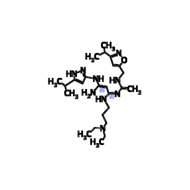 C=C(/N=C(\C=C(/N)Nc1cc(C(C)C)[nH]n1)NCCCN(CC)CC)NCc1cc(C(C)C)no1